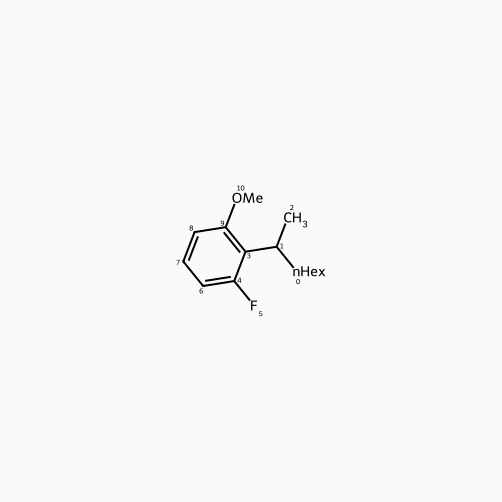 CCCCCCC(C)c1c(F)cccc1OC